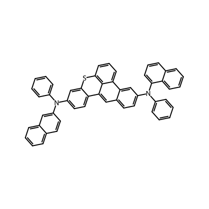 c1ccc(N(c2ccc3c(c2)Sc2cccc4c2c-3cc2ccc(N(c3ccccc3)c3cccc5ccccc35)cc24)c2ccc3ccccc3c2)cc1